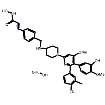 COc1ccc(-c2c(OC)cc(N3CCC(NCc4ccc(/C=C/C(=O)NO)cc4)CC3)nc2-c2ccc(C#N)c(F)c2)cc1O.O=CO